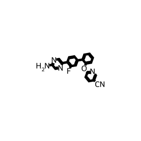 N#Cc1ccc(Oc2ccccc2-c2ccc(-c3cnc(N)cn3)c(F)c2)nc1